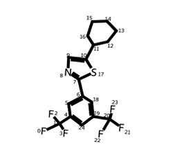 FC(F)(F)c1cc(-c2ncc(C3CCCCC3)s2)cc(C(F)(F)F)c1